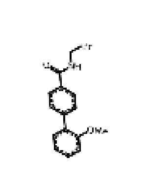 COc1ccccc1-c1ccc(C(=O)NCC(C)C)cc1